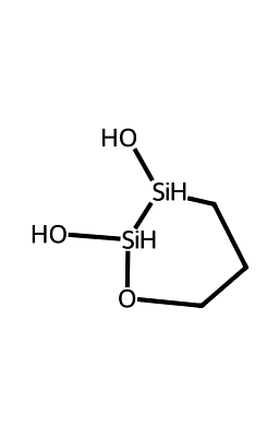 O[SiH]1CCCO[SiH]1O